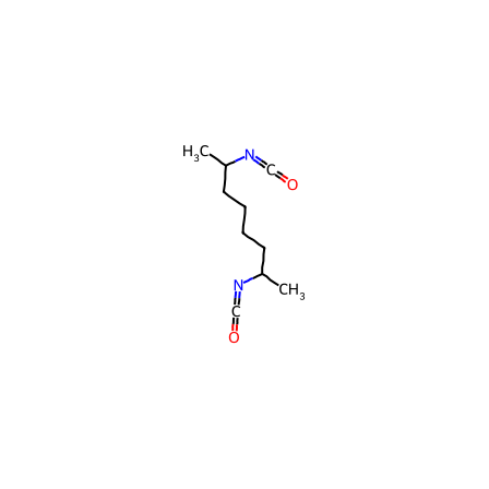 CC(CCCCC(C)N=C=O)N=C=O